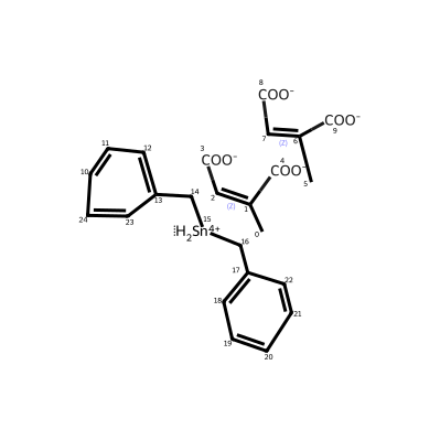 C/C(=C/C(=O)[O-])C(=O)[O-].C/C(=C/C(=O)[O-])C(=O)[O-].c1ccc([CH2][SnH2+4][CH2]c2ccccc2)cc1